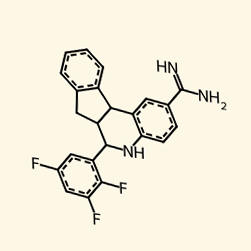 N=C(N)c1ccc2c(c1)C1c3ccccc3CC1C(c1cc(F)cc(F)c1F)N2